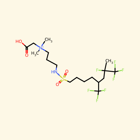 CC(F)(CC(CCCCS(=O)(=O)NCCC[N+](C)(C)CC(=O)O)C(F)(F)F)C(F)(F)F